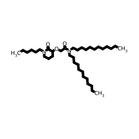 CCCCCCCCCCCCN(CCCCCCCCCCCC)C(=O)COC1CCCN(CCCCCC)C1=O